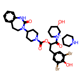 O=C(OC(Cc1cc(Br)c(O)c(Br)c1)C(=O)[N@+]1(C2CCNCC2)CCC[C@H](O)C1)N1CCC(N2CCc3ccccc3NC2=O)CC1